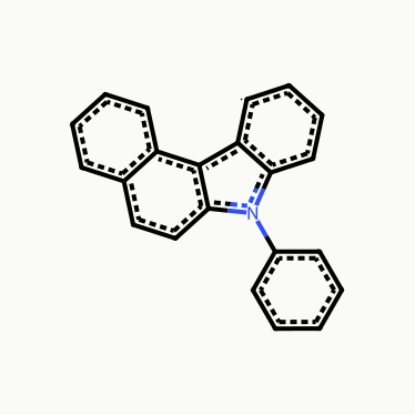 [c]1cccc2c1c1c3ccccc3ccc1n2-c1ccccc1